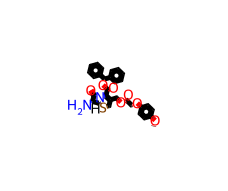 COc1ccc(OCC(=O)OCC2=C(C(=O)OC(c3ccccc3)c3ccccc3)N3C(=O)C(N)[C@H]3SC2)cc1